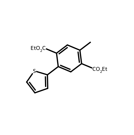 CCOC(=O)c1cc(-c2cccs2)c(C(=O)OCC)cc1C